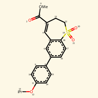 COC(=O)C1=Cc2cc(-c3ccc(OC(C)C)cc3)ccc2S(=O)(=O)CC1